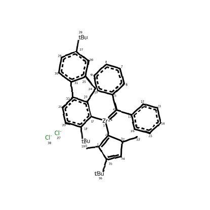 CC1=[C]([Zr+2](=[C](c2ccccc2)c2ccccc2)[c]2c(C(C)(C)C)ccc3c2Cc2cc(C(C)(C)C)ccc2-3)C(C)C=C1C(C)(C)C.[Cl-].[Cl-]